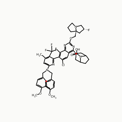 COc1ccc(CN(Cc2ccc(OC)cc2)c2cc(C)c(C(F)(F)F)c(-c3c(Cl)cc4c(N5CC6CCC(C5)N6C(=O)O)nc(OC[C@@]56CCCN5C[C@H](F)C6)nc4c3F)n2)cc1